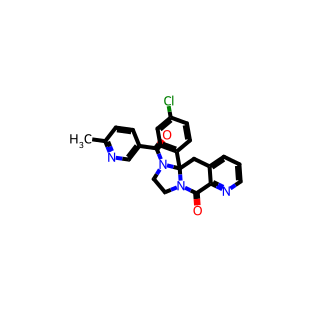 Cc1ccc(C(=O)N2CCN3C(=O)c4ncccc4CC23c2ccc(Cl)cc2)cn1